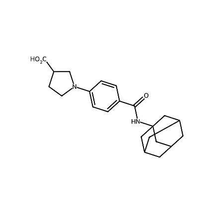 O=C(NC12CC3CC(CC(C3)C1)C2)c1ccc(N2CCC(C(=O)O)C2)cc1